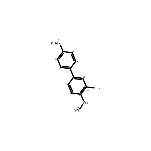 CCCCCCc1ccc(-c2ccc(OCCC)c(F)c2)cc1